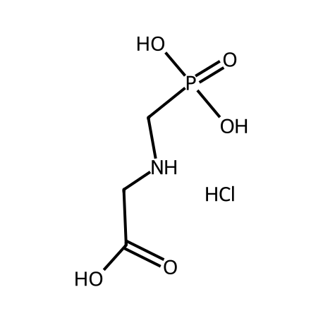 Cl.O=C(O)CNCP(=O)(O)O